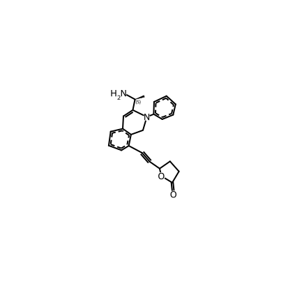 C[C@H](N)C1=Cc2cccc(C#CC3CCC(=O)O3)c2CN1c1ccccc1